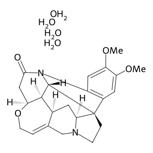 COc1cc2c(cc1OC)[C@@]13CCN4CC5=CCO[C@H]6CC(=O)N2[C@H]1[C@H]6[C@H]5C[C@H]43.O.O.O.O